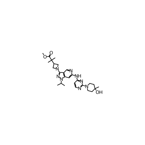 COC(=O)C(C)(C)C1CN(c2nn(C(C)C)c3cc(Nc4ccnc(N5CCC(C)(O)CC5)n4)ncc23)C1